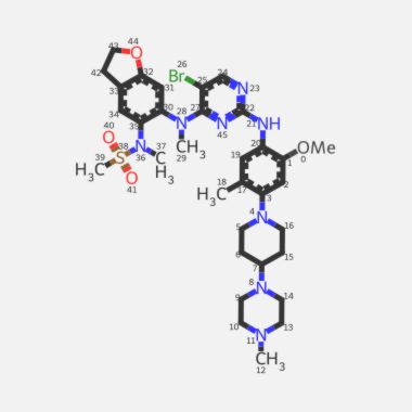 COc1cc(N2CCC(N3CCN(C)CC3)CC2)c(C)cc1Nc1ncc(Br)c(N(C)c2cc3c(cc2N(C)S(C)(=O)=O)CCO3)n1